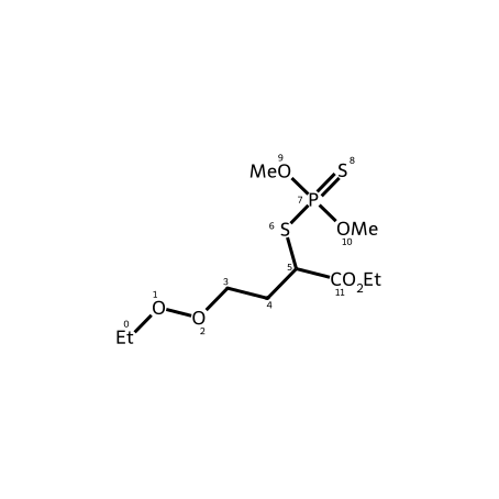 CCOOCCC(SP(=S)(OC)OC)C(=O)OCC